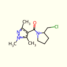 Cc1nn(C)c(C)c1C(=O)N1CCCC1CCl